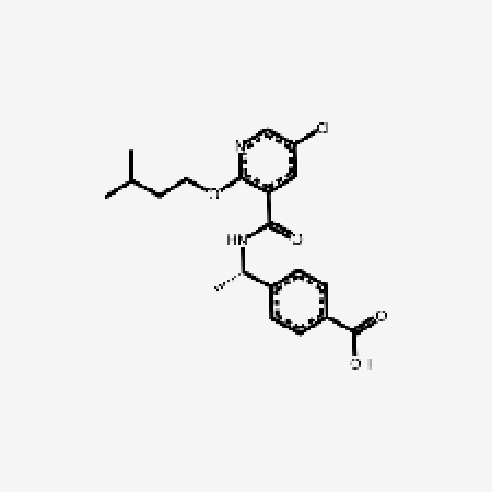 CC(C)CCOc1ncc(Cl)cc1C(=O)N[C@@H](C)c1ccc(C(=O)O)cc1